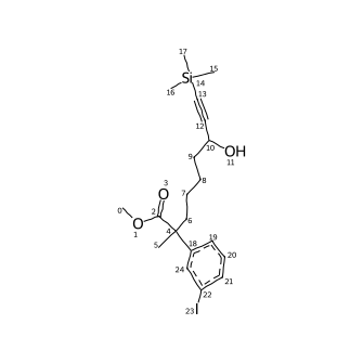 COC(=O)C(C)(CCCCC(O)C#C[Si](C)(C)C)c1cccc(I)c1